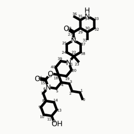 CCCCC1CN(CC2CCC(O)CC2)C(=O)OC12CCN(C1(C)CCN(C(=O)C3C(C)CCNC3C)CC1)CC2